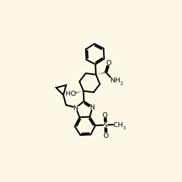 CS(=O)(=O)c1cccc2c1nc([C@]1(O)CC[C@](C(N)=O)(c3ccccc3)CC1)n2CC1CC1